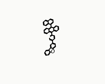 C=C(/C=C\C(=C/C)c1ccc2oc3ccccc3c2c1)c1c2ccccc2c(-c2cccc3ccccc23)c2ccccc12